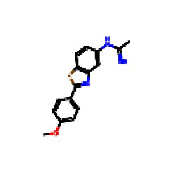 COc1ccc(-c2nc3cc(NC(C)=N)ccc3s2)cc1